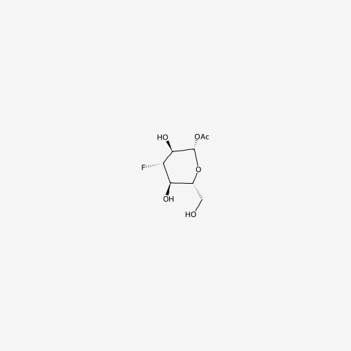 CC(=O)O[C@@H]1O[C@H](CO)[C@@H](O)[C@H](F)[C@H]1O